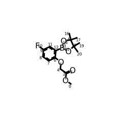 COC(=O)COc1ccc(F)cc1B1OC(C)(C)C(C)(C)O1